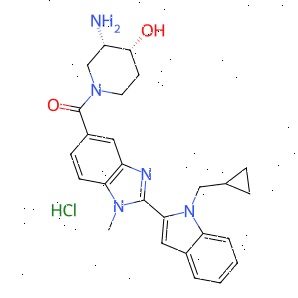 Cl.Cn1c(-c2cc3ccccc3n2CC2CC2)nc2cc(C(=O)N3CC[C@@H](O)[C@@H](N)C3)ccc21